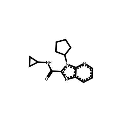 O=C(NC1CC1)c1nc2cccnc2n1C1CCCC1